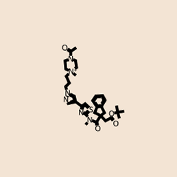 CC(=O)N1CC[N+](C)(CCCn2cc(-c3csc(N(C)C(=O)C4(CC(=O)OC(C)(C)C)Cc5ccccc5C4)n3)cn2)CC1